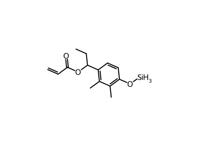 C=CC(=O)OC(CC)c1ccc(O[SiH3])c(C)c1C